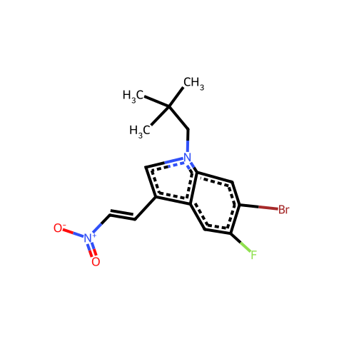 CC(C)(C)Cn1cc(/C=C/[N+](=O)[O-])c2cc(F)c(Br)cc21